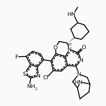 CNC1CCCC([C@H]2COc3c(-c4ccc(F)c5sc(N)nc45)c(Cl)cc4c(N5CC6CCC(C5)N6)nc(=O)n2c34)C1